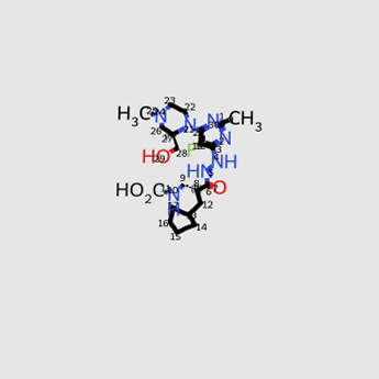 Cc1nc(NNC(=O)[C@@H](CNC(=O)O)CC2CCCC2)c(F)c(N2CCN(C)C[C@@H]2CO)n1